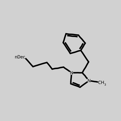 CCCCCCCCCCCCCCN1C=CN(C)C1Cc1ccccc1